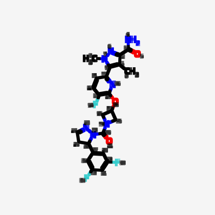 Cc1c(C(N)=O)nn(C)c1-c1ccc(F)c(OC2CN(C(=O)N3N=CCC3c3cc(F)cc(F)c3)C2)n1